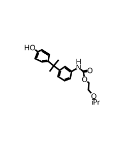 CC(C)OCCOC(=O)Nc1cccc(C(C)(C)c2ccc(O)cc2)c1